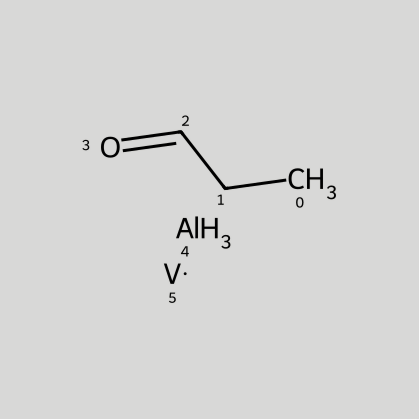 CCC=O.[AlH3].[V]